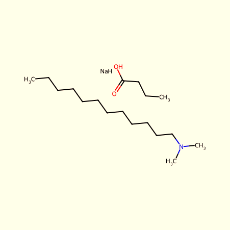 CCCC(=O)O.CCCCCCCCCCCCN(C)C.[NaH]